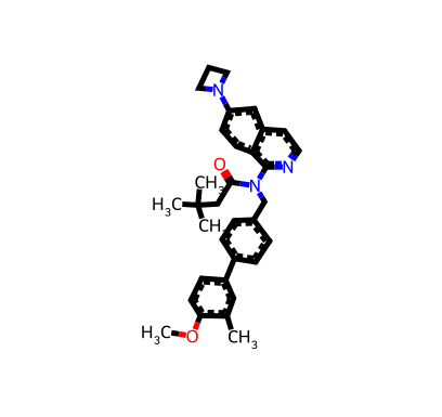 COc1ccc(-c2ccc(CN(C(=O)CC(C)(C)C)c3nccc4cc(N5CCC5)ccc34)cc2)cc1C